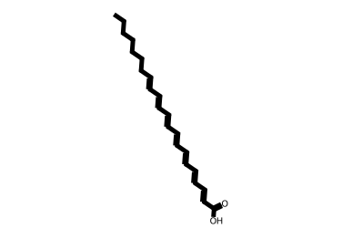 CCCCCCCC=CC=CC=CC=CC=CC=CC=CC(=O)O